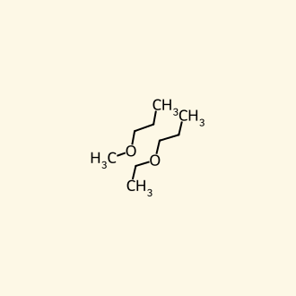 CCCOC.CCCOCC